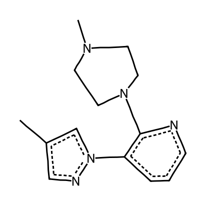 Cc1cnn(-c2cccnc2N2CCN(C)CC2)c1